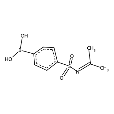 CC(C)=NS(=O)(=O)c1ccc(B(O)O)cc1